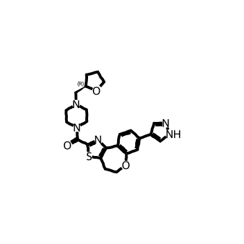 O=C(c1nc2c(s1)CCOc1cc(-c3cn[nH]c3)ccc1-2)N1CCN(C[C@H]2CCCO2)CC1